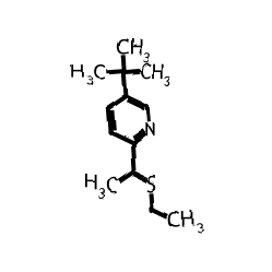 CCSC(C)c1ccc(C(C)(C)C)cn1